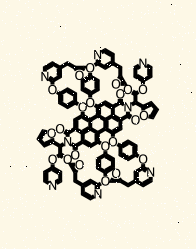 O=C(Oc1ccncc1)C(c1ccco1)N1C(=O)c2cc(Oc3ccc(Oc4cc(CC5CO5)ccn4)cc3)c3c4c(Oc5ccc(Oc6cc(CC7CO7)ccn6)cc5)cc5c6c(cc(Oc7ccc(Oc8cc(CC9CO9)ccn8)cc7)c(c7c(Oc8ccc(Oc9cc(CC%10CO%10)ccn9)cc8)cc(c2c37)C1=O)c64)C(=O)N(C(C(=O)Oc1ccncc1)c1ccco1)C5=O